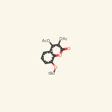 CC(=O)Oc1c(OC(C)=O)c2cccc(OC(C)(C)C)c2oc1=O